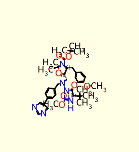 COC(=O)N[C@H](C(=O)NN(Cc1ccc(-c2cncnc2)cc1)C[C@@H]1OC(C)(C)N(C(=O)OC(C)(C)C)[C@H]1Cc1ccc(OC)cc1)C(C)(C)C